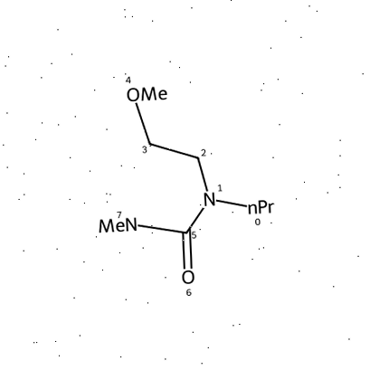 CCCN(CCOC)C(=O)NC